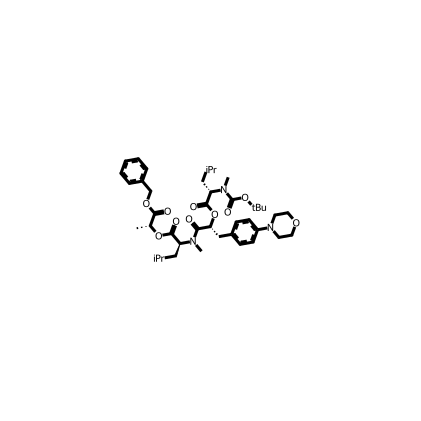 CC(C)C[C@@H](C(=O)O[C@H](Cc1ccc(N2CCOCC2)cc1)C(=O)N(C)[C@@H](CC(C)C)C(=O)O[C@H](C)C(=O)OCc1ccccc1)N(C)C(=O)OC(C)(C)C